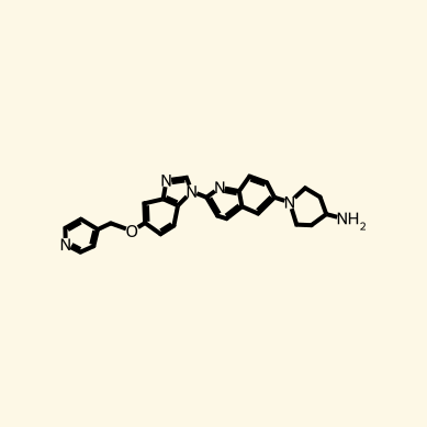 NC1CCN(c2ccc3nc(-n4cnc5cc(OCc6ccncc6)ccc54)ccc3c2)CC1